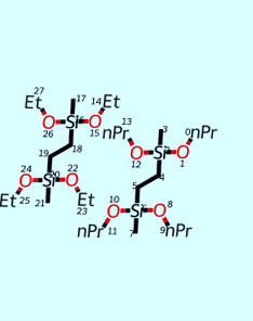 CCCO[Si](C)(CC[Si](C)(OCCC)OCCC)OCCC.CCO[Si](C)(CC[Si](C)(OCC)OCC)OCC